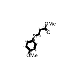 COC(=O)CCSc1ccc(OC)cc1